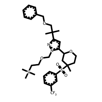 CC(C)(COCc1ccccc1)c1cc(C2CC(C)(S(=O)(=O)c3cccc(C(F)(F)F)c3)CCO2)n(COCC[Si](C)(C)C)n1